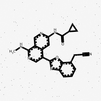 CNc1ncc(-c2nc3cccc(CC#N)c3o2)c2cc(NC(=O)C3CC3)ncc12